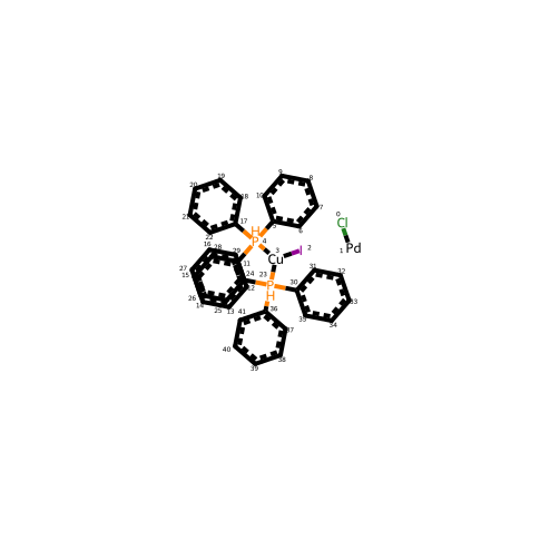 [Cl][Pd].[I][Cu]([PH](c1ccccc1)(c1ccccc1)c1ccccc1)[PH](c1ccccc1)(c1ccccc1)c1ccccc1